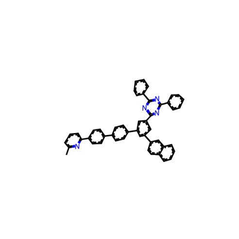 Cc1cccc(-c2ccc(-c3ccc(-c4cc(-c5ccc6ccccc6c5)cc(-c5nc(-c6ccccc6)nc(-c6ccccc6)n5)c4)cc3)cc2)n1